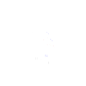 CC(C)N1CCC(S(=O)(=O)NC(=O)Nc2c3c(cc4c2CCC4)CCC3)C1.[K]